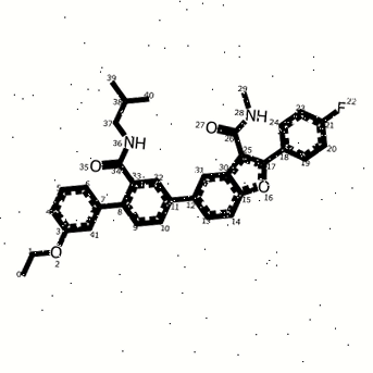 CCOc1cccc(-c2ccc(-c3ccc4oc(-c5ccc(F)cc5)c(C(=O)NC)c4c3)cc2C(=O)NCC(C)C)c1